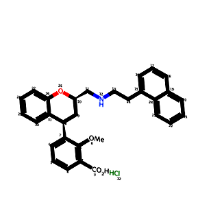 COc1c(C(=O)O)cccc1[C@@H]1C[C@H](CNCCc2cccc3ccccc23)Oc2ccccc21.Cl